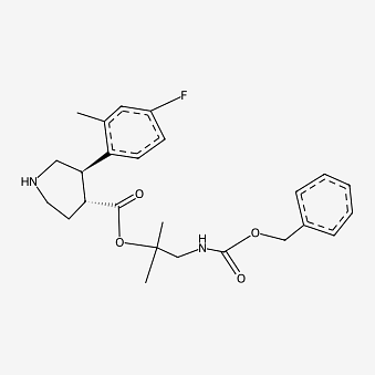 Cc1cc(F)ccc1[C@@H]1CNCC[C@H]1C(=O)OC(C)(C)CNC(=O)OCc1ccccc1